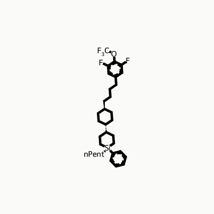 CCCCC[Si]1(c2ccccc2)CCC([C@H]2CC[C@H](CCCCc3cc(F)c(OC(F)(F)F)c(F)c3)CC2)CC1